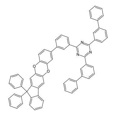 c1ccc(-c2cccc(-c3nc(-c4cccc(-c5ccccc5)c4)nc(-c4cccc(-c5ccc6c(c5)Oc5cc7c(cc5O6)C(c5ccccc5)(c5ccccc5)c5ccccc5-7)c4)n3)c2)cc1